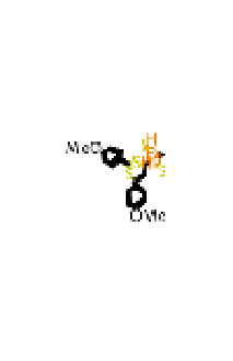 COc1ccc(C2CCSC(c3ccc(OC)cc3)S2)cc1.S=[PH]1C[PH](=S)C1